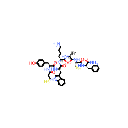 CC(C)[C@H](NC(=O)[C@H](CCCCN)NC(=O)[C@@H](Cc1c[nH]c2ccccc12)NC(=O)[C@H](Cc1ccc(O)cc1)NC(=O)CCS)C(=O)N[C@@H](CS)C(=O)N[C@@H](Cc1ccccc1)C(N)=O